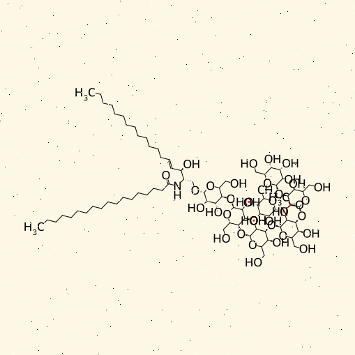 CCCCCCCCCCCCC/C=C/[C@@H](O)[C@H](CO[C@@H]1OC(CO)[C@@H](O[C@@H]2OC(CO)[C@H](O[C@@H]3OC(CO)[C@H](O)[C@H](O[C@@H]4OC(CO)[C@H](O)[C@H](O[C@@H]5OC(CO)[C@H](O)[C@H](O[C@H]6OC(CO)[C@H](O)[C@H](O)C6O)C5O[C@H]5OC(C)[C@@H](O)C(O)[C@@H]5O)C4NC(C)=O)C3O)[C@H](O)C2O)[C@H](O)C1O)NC(=O)CCCCCCCCCCCCCCCCC